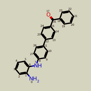 Nc1ccccc1Nc1ccc(-c2ccc(C(=O)c3ccccc3)cc2)cc1